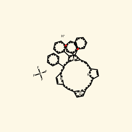 C1=Cc2cc3c(-c4ccccc4)c(-c4ccccc4)c(c(-c4ccccc4)c4nc(cc5ccc(cc1n2)[nH]5)C=C4)n3-c1ccccc1.F[B-](F)(F)F.[H+]